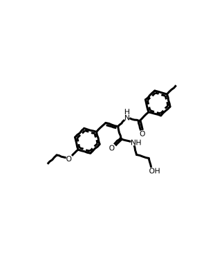 CCOc1ccc(/C=C(/NC(=O)c2ccc(C)cc2)C(=O)NCCO)cc1